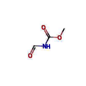 COC(=O)NC=O